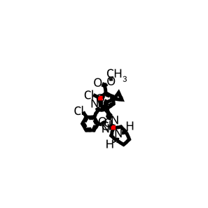 COC(=O)c1ccc(-c2nc(N3[C@@H]4CC[C@H]3C[C@@H](OCc3c(-c5c(Cl)cccc5Cl)noc3C3CC3)C4)no2)cc1Cl